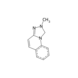 CN1CN2C(=N1)C=Cc1ccccc12